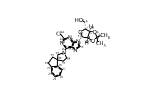 CC1(C)O[C@@H]2[C@H](O1)[C@@H](CO)O[C@H]2n1cnc2c(N3CCC4(CCc5ccccc54)C3)nc(Cl)nc21